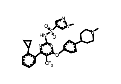 CN1CCC(c2ccc(Oc3nc(NS(=O)(=O)c4cnn(C)c4)nc(-c4ccccc4C4CC4)c3C(F)(F)F)cc2)CC1